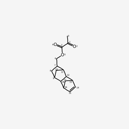 CC(=O)C(=O)OCC1CC2CC1C1C3C=CC(C3)C21